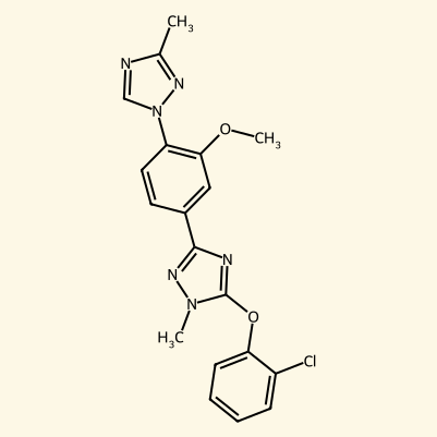 COc1cc(-c2nc(Oc3ccccc3Cl)n(C)n2)ccc1-n1cnc(C)n1